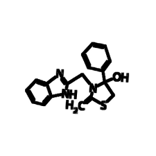 C=C1SCC(O)(c2ccccc2)N1Cc1nc2ccccc2[nH]1